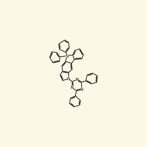 c1ccc(-c2nc(-c3ccccc3)nc(-n3ccc4cc5c(cc43)-c3ccccc3[Si]5(c3ccccc3)c3ccccc3)n2)cc1